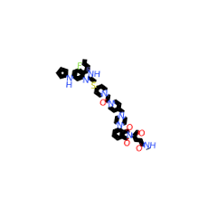 CC/C=C1/NC(CSC2CCN(CC(=O)N3CCC(CN4CCN(c5cccc6c5C(=O)N(C(C=O)CCC(=O)NC)C6=O)CC4)CC3)CC2)=Nc2cc(NC3CCCC3)cc(F)c21